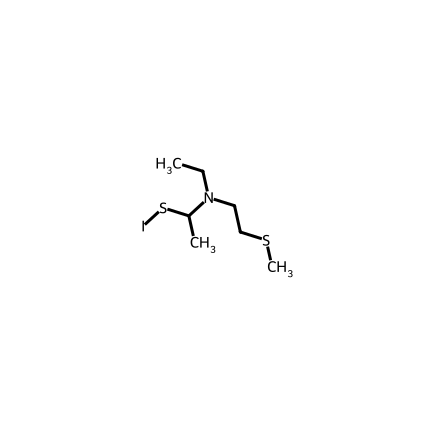 CCN(CCSC)C(C)SI